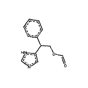 O=COCC(c1ccccc1)c1cnc[nH]1